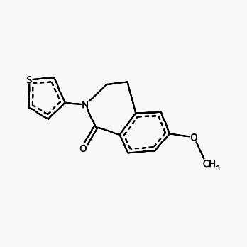 COc1ccc2c(c1)CCN(c1ccsc1)C2=O